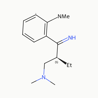 CC[C@@H](CN(C)C)C(=N)c1ccc[c]c1NC